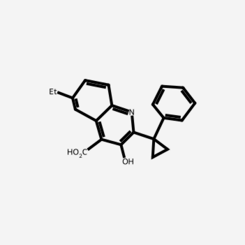 CCc1ccc2nc(C3(c4ccccc4)CC3)c(O)c(C(=O)O)c2c1